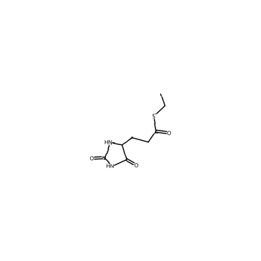 CCSC(=O)CCC1NC(=O)NC1=O